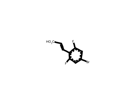 O=C(O)C=Cc1c(F)cc(Br)cc1F